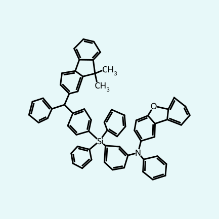 CC1(C)c2ccccc2-c2ccc(C(c3ccccc3)c3ccc([Si](c4ccccc4)(c4ccccc4)c4cccc(N(c5ccccc5)c5ccc6oc7ccccc7c6c5)c4)cc3)cc21